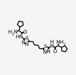 NC(C(=O)Nc1nnc(CCCCc2nnc(NC(=O)C(N)C3CCCC3)s2)s1)C1CCCC1